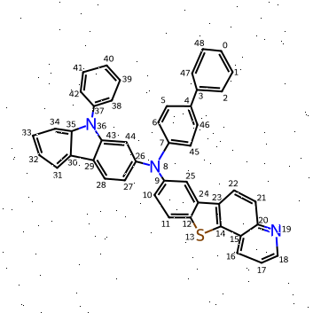 c1ccc(-c2ccc(N(c3ccc4sc5c6cccnc6ccc5c4c3)c3ccc4c5ccccc5n(-c5ccccc5)c4c3)cc2)cc1